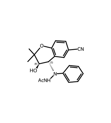 CC(=O)NN(c1ccccc1)[C@H]1c2cc(C#N)ccc2OC(C)(C)[C@@H]1O